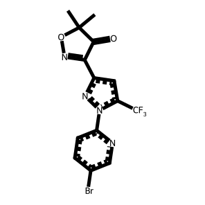 CC1(C)ON=C(c2cc(C(F)(F)F)n(-c3ccc(Br)cn3)n2)C1=O